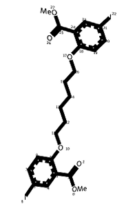 COC(=O)c1cc(I)ccc1OCCCCCCOc1ccc(I)cc1C(=O)OC